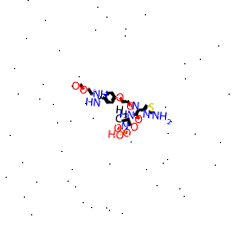 C[C@H]1[C@H](NC(=O)/C(=N\OCCOc2ccc(C(=N)NCCOC=O)cc2)c2csc(N)n2)C(=O)N1S(=O)(=O)O